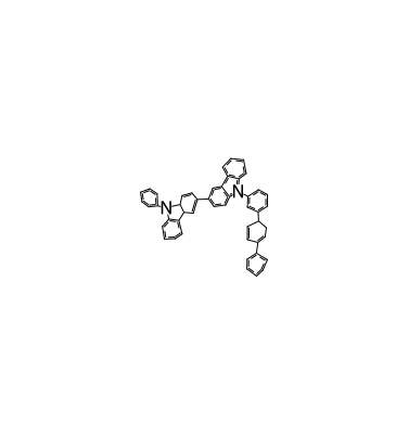 C1=CC(c2cccc(-n3c4ccccc4c4cc(C5=CC6c7ccccc7N(c7ccccc7)C6C=C5)ccc43)c2)CC=C1c1ccccc1